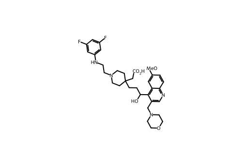 COc1ccc2ncc(CN3CCOCC3)c(C(O)CCC3(CC(=O)O)CCN(CCNc4cc(F)cc(F)c4)CC3)c2c1